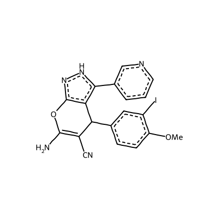 COc1ccc(C2C(C#N)=C(N)Oc3n[nH]c(-c4cccnc4)c32)cc1I